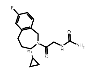 NC(=O)NCC(=O)N1Cc2ccc(F)cc2CC[C@H]1C1CC1